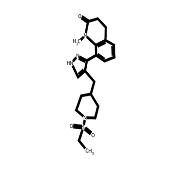 CCS(=O)(=O)N1CCC(Cc2c[nH]nc2-c2cccc3c2N(C)C(=O)CC3)CC1